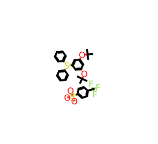 CC(C)(C)Oc1cc(OC(C)(C)C)cc([S+](c2ccccc2)c2ccccc2)c1.O=S(=O)([O-])c1ccc(C(F)(F)F)cc1